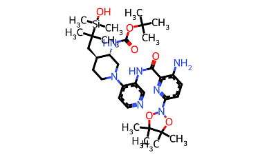 CC(C)(C)OC(=O)N[C@@H]1CN(c2ccncc2NC(=O)c2nc(N3OC(C)(C)C(C)(C)O3)ccc2N)CC[C@H]1CC(C)(C)[Si](C)(C)O